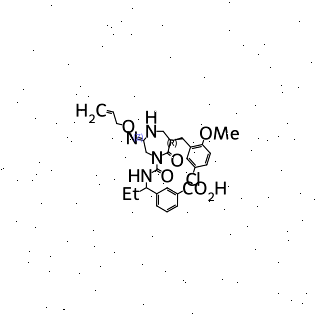 C=CCO/N=C1/CN(C(=O)NC(CC)c2cccc(C(=O)O)c2)C(=O)[C@H](Cc2cc(Cl)ccc2OC)CN1